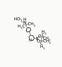 CC(C)(NCCO)c1ccc(-c2cncc(B3OC(C)(C)C(C)(C)O3)c2)cc1